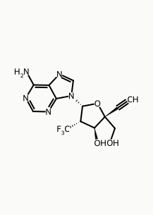 C#C[C@]1(CO)O[C@@H](n2cnc3c(N)ncnc32)[C@@H](C(F)(F)F)[C@@H]1O